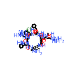 C=C(N)[C@@H]1CCCNC(=O)CC[C@H](NC(=O)[C@H](CCCNC(=N)N)NC(C)=O)C(=O)N[C@@H]([C@@H](C)OCc2ccccc2)C(=O)N[C@H](Cc2ccccc2Cl)C(=O)N[C@@H](CCCNC(=N)N)C(=O)N[C@@H](Cc2c[nH]c3ccccc23)C(=O)N1